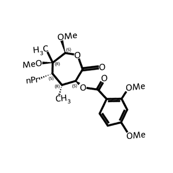 CCC[C@H]1[C@@H](C)[C@H](OC(=O)c2ccc(OC)cc2OC)C(=O)O[C@H](OC)[C@]1(C)OC